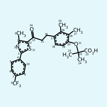 Cc1nc(-c2ccc(C(F)(F)F)cc2)sc1C(=O)CCc1ccc(OC(C)(C)C(=O)O)c(C)c1C